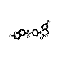 O=C1OCc2cc(Br)ccc2N1C1CCN(S(=O)(=O)c2ccc3oc(=O)ccc3c2)CC1